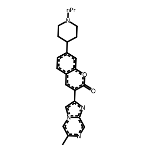 CCCN1CCC(c2ccc3cc(-c4cn5cc(C)ncc5n4)c(=O)oc3c2)CC1